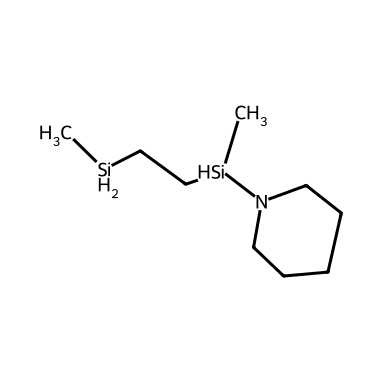 C[SiH2]CC[SiH](C)N1CCCCC1